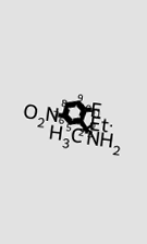 C[CH][C@](C)(N)c1cc([N+](=O)[O-])ccc1F